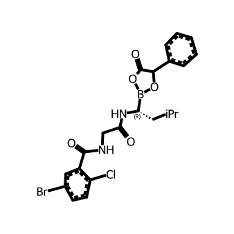 CC(C)C[C@H](NC(=O)CNC(=O)c1cc(Br)ccc1Cl)B1OC(=O)C(c2ccccc2)O1